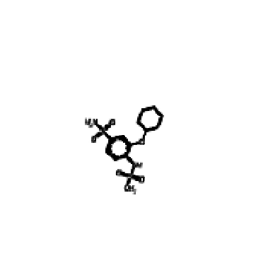 CS(=O)(=O)Nc1ccc(S(N)(=O)=O)cc1OC1CCCCC1